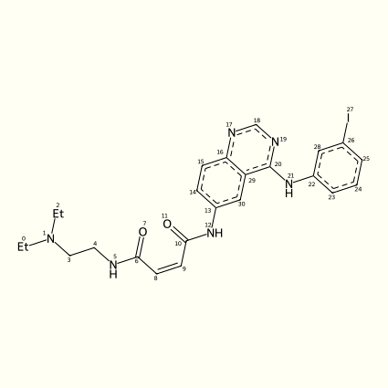 CCN(CC)CCNC(=O)/C=C\C(=O)Nc1ccc2ncnc(Nc3cccc(I)c3)c2c1